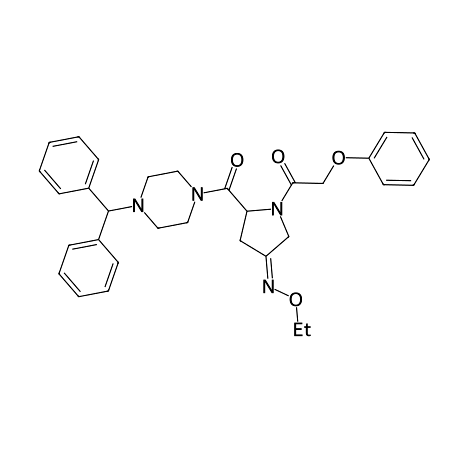 CCON=C1CC(C(=O)N2CCN(C(c3ccccc3)c3ccccc3)CC2)N(C(=O)COc2ccccc2)C1